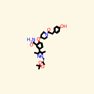 Cc1nn(C[C@@H]2COC(C)(C)O2)c(C)c1-c1ccc(OC2CCN(C(=O)Cc3ccc(O)cc3)CC2)c(C(N)=O)c1